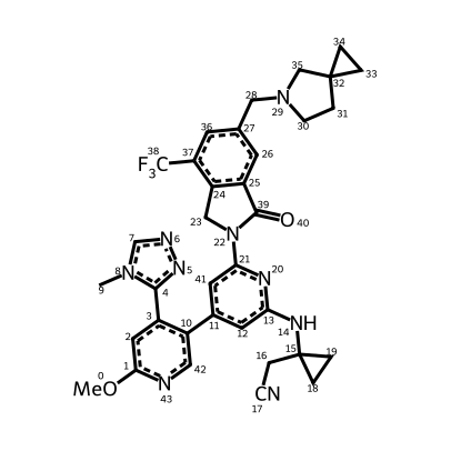 COc1cc(-c2nncn2C)c(-c2cc(NC3(CC#N)CC3)nc(N3Cc4c(cc(CN5CCC6(CC6)C5)cc4C(F)(F)F)C3=O)c2)cn1